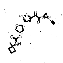 C#C[C@H]1C[C@@H]1C(=O)Nc1cc([C@@H]2C[C@H](OC(=O)NC3(C)CCC3)CO2)[nH]n1